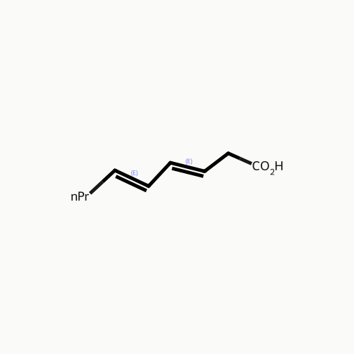 CCC/C=C/C=C/CC(=O)O